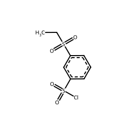 CCS(=O)(=O)c1cccc(S(=O)(=O)Cl)c1